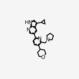 c1nc2[nH]cc(C3CC3)c2cc1-c1ccc(C2CCOCC2)c(CN2CCCC2)n1